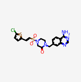 Nc1ncnc2cc(CN3CCN(S(=O)(=O)/C=C/c4ccc(Cl)s4)CC3=O)ccc12